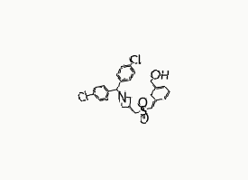 O=S(=O)(C=C1C=CC=C(CO)C1)CC1CN(C(c2ccc(Cl)cc2)c2ccc(Cl)cc2)C1